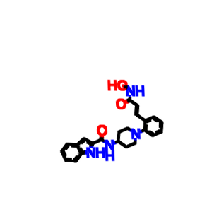 O=C(C=Cc1ccccc1N1CCC(NC(=O)c2cc3ccccc3[nH]2)CC1)NO